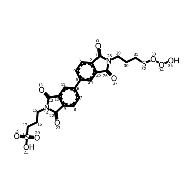 O=C1c2ccc(-c3ccc4c(c3)C(=O)N(CCCS(=O)(=O)O)C4=O)cc2C(=O)N1CCCSOOO